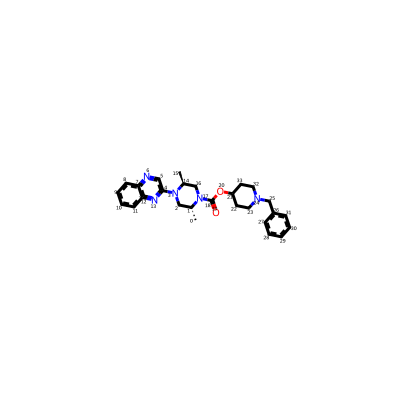 C[C@@H]1CN(c2cnc3ccccc3n2)[C@@H](C)CN1C(=O)OC1CCN(Cc2ccccc2)CC1